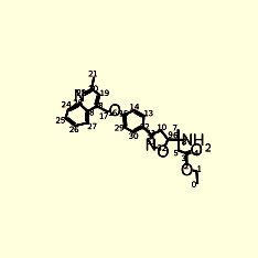 CCOC(=O)CC(C)(N)C1CC(c2ccc(OCc3cc(C)nc4ccccc34)cc2)=NO1